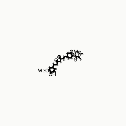 COc1cc(/C=C/C(=O)CC(=O)/C=C/c2ccc(OC(=O)C(C)N(C)C)c(OC)c2)ccc1O